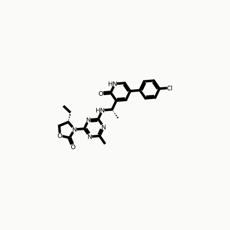 CC[C@H]1COC(=O)N1c1nc(C)nc(N[C@@H](C)c2cc(-c3ccc(Cl)cc3)c[nH]c2=O)n1